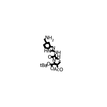 CC(=O)OCC1=C(C(=O)OC(C)(C)C)N2C(=O)C(Nc3nc4cc(CN)ccc4[nH]3)[C@@H]2SC1